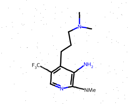 CNc1ncc(C(F)(F)F)c(CCCN(C)C)c1N